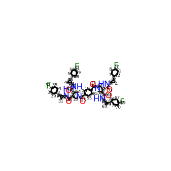 O=C(N[C@H]1C[C@@H]1c1ccc(F)cc1)[C@@H]1CN(C(=O)c2ccc(C(=O)N3C[C@@H](C(=O)N[C@H]4C[C@@H]4c4ccc(F)cc4)[C@H](C(=O)N[C@H]4C[C@@H]4c4ccc(F)cc4)C3)cc2)C[C@H]1C(=O)N[C@H]1C[C@@H]1c1ccc(F)cc1